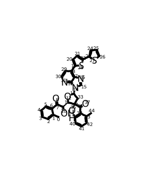 Cc1ccccc1C(=O)C(O)[C@H]1O[C@@H](n2cnc3c(-c4ccc(-c5cccs5)s4)ccnc32)C[C@@]1(O)C(=O)c1ccccc1C